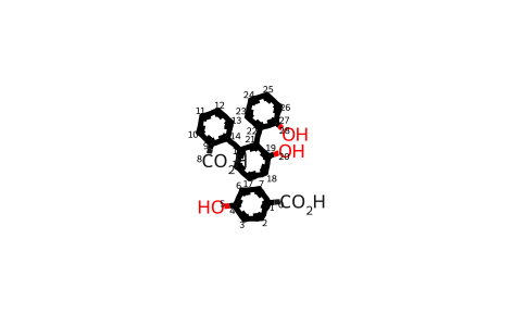 O=C(O)c1ccc(O)cc1.O=C(O)c1ccccc1-c1cccc(O)c1-c1ccccc1O